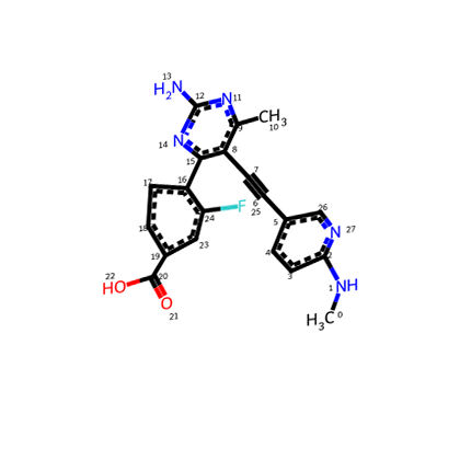 CNc1ccc(C#Cc2c(C)nc(N)nc2-c2ccc(C(=O)O)cc2F)cn1